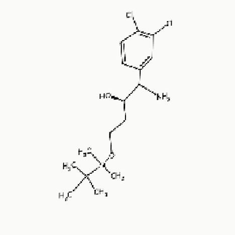 CC(C)(C)[Si](C)(C)OCC[C@@H](O)C(N)c1ccc(Cl)c(Cl)c1